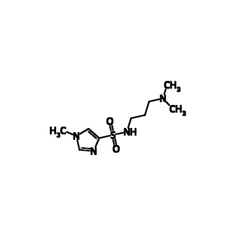 CN(C)CCCNS(=O)(=O)c1cn(C)cn1